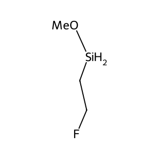 CO[SiH2]CCF